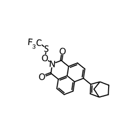 O=C1c2cccc3c(C4=CC5CCC4C5)ccc(c23)C(=O)N1OSC(F)(F)F